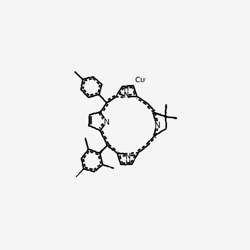 Cc1ccc(-c2c3nc(c(-c4c(C)cc(C)cc4C)c4ccc(cc5nc(cc6ccc2[nH]6)C(C)(C)C5)[nH]4)C=C3)cc1.[Cu]